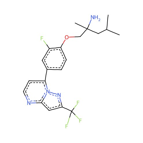 CC(C)CC(C)(N)COc1ccc(-c2ccnc3cc(C(F)(F)F)nn23)cc1F